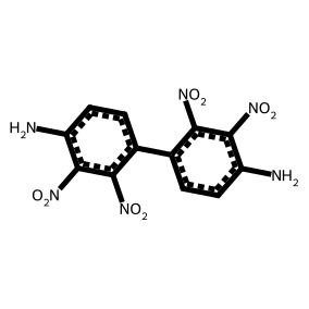 Nc1ccc(-c2ccc(N)c([N+](=O)[O-])c2[N+](=O)[O-])c([N+](=O)[O-])c1[N+](=O)[O-]